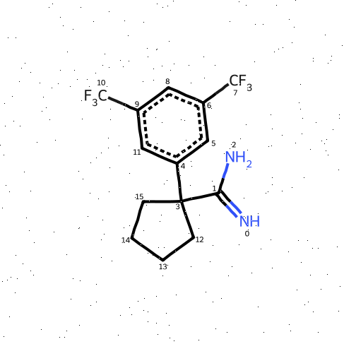 N=C(N)C1(c2cc(C(F)(F)F)cc(C(F)(F)F)c2)CCCC1